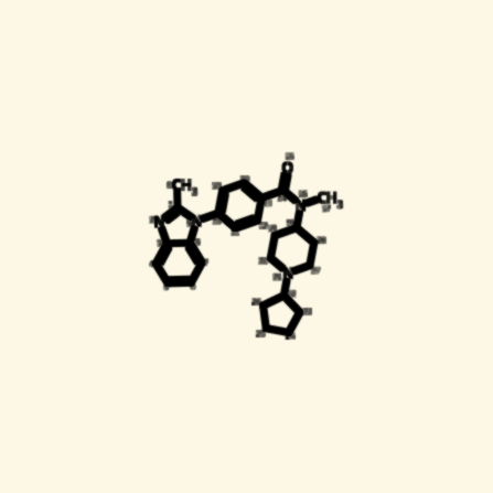 Cc1nc2ccccc2n1-c1ccc(C(=O)N(C)C2CCN(C3CCCC3)CC2)cc1